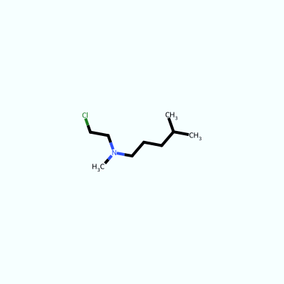 CC(C)CCCN(C)CCCl